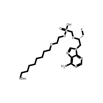 CCCCCCCCCCCCCCCCCCOCCOP(=O)(O)CO[C@H](CF)Cn1cnc2c(N)ncnc21